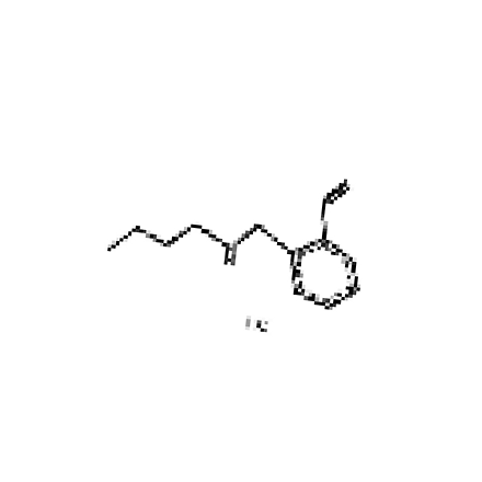 C=Cc1ccccc1CNCCCC.Cl